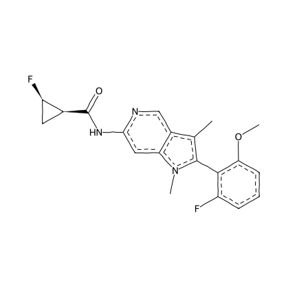 COc1cccc(F)c1-c1c(C)c2cnc(NC(=O)[C@H]3C[C@H]3F)cc2n1C